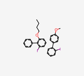 CCCCOc1cccc(I)c1-c1ccccc1.COc1ccc(-c2ccccc2I)cc1